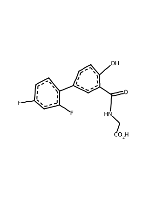 O=C(O)CNC(=O)c1cc(-c2ccc(F)cc2F)ccc1O